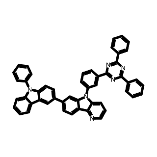 c1ccc(-c2nc(-c3ccccc3)nc(-c3cccc(-n4c5cc(-c6ccc7c(c6)c6ccccc6n7-c6ccccc6)ccc5c5ncccc54)c3)n2)cc1